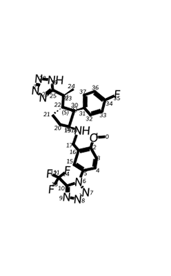 COc1ccc(-n2nnnc2C(F)(F)F)cc1CN[C@H]1CC[C@H]([C@H](C)c2nnn[nH]2)[C@H]1c1ccc(F)cc1